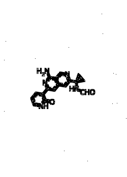 Nc1nc(-c2ccc[nH]c2=O)cc2cc(C3(NC=O)CC3)ncc12